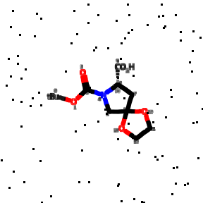 CC(C)(C)OC(=O)N1CC2(C[C@H]1C(=O)O)OCCO2